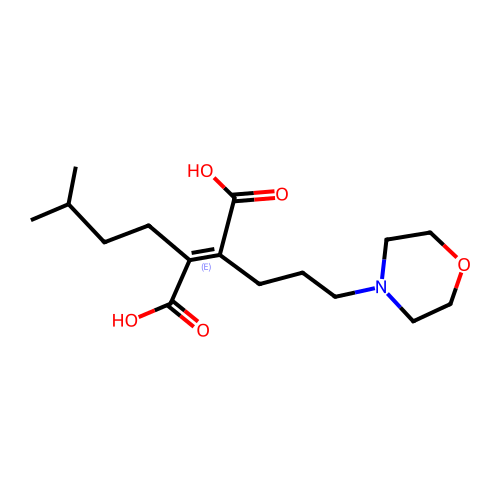 CC(C)CC/C(C(=O)O)=C(/CCCN1CCOCC1)C(=O)O